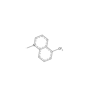 [CH2][n+]1cccc2c(C(F)(F)F)cccc21